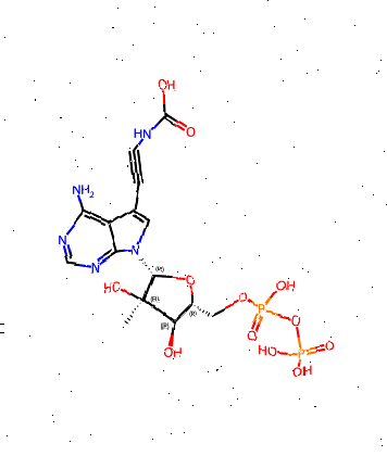 C[C@@]1(O)[C@H](O)[C@@H](COP(=O)(O)OP(=O)(O)O)O[C@H]1n1cc(C#CNC(=O)O)c2c(N)ncnc21